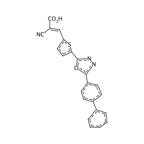 N#C/C(=C\c1ccc(-c2nnc(-c3ccc(-c4ccccc4)cc3)o2)s1)C(=O)O